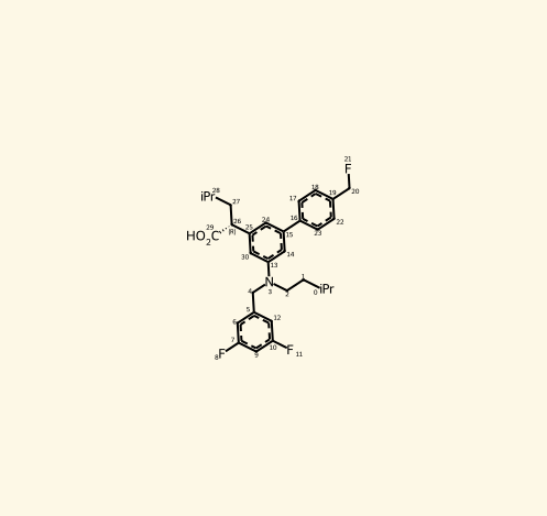 CC(C)CCN(Cc1cc(F)cc(F)c1)c1cc(-c2ccc(CF)cc2)cc([C@@H](CC(C)C)C(=O)O)c1